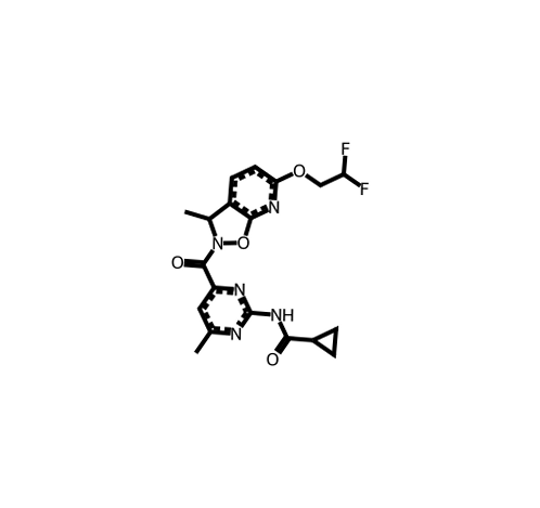 Cc1cc(C(=O)N2Oc3nc(OCC(F)F)ccc3C2C)nc(NC(=O)C2CC2)n1